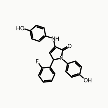 O=C1C(Nc2ccc(O)cc2)=CC(c2ccccc2F)N1c1ccc(O)cc1